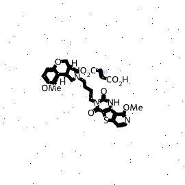 COc1cccc2c1[C@@H]1CN(CCCCn3c(=O)[nH]c4c(sc5ccnc(OC)c54)c3=O)C[C@H]1CO2.O=C(O)/C=C/C(=O)O